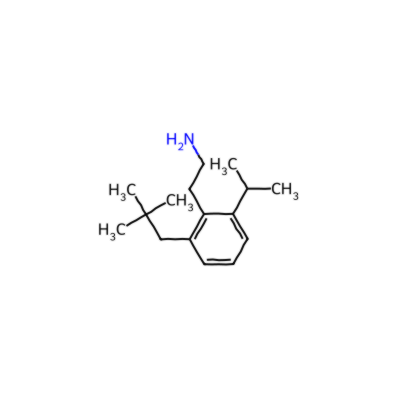 CC(C)c1cccc(CC(C)(C)C)c1CCN